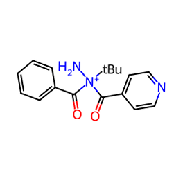 CC(C)(C)[N+](N)(C(=O)c1ccccc1)C(=O)c1ccncc1